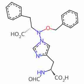 O=CN[C@@H](Cc1cn(N(OCc2ccccc2)[C@@H](Cc2ccccc2)C(=O)O)cn1)C(=O)O